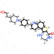 C[C@@H]1CNc2c(sc3ccc4nc(-c5ccc(N6CCC(CCO)CC6)cc5)ccc4c23)C(=O)N1